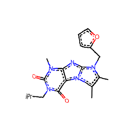 Cc1c(C)n2c3c(=O)n(CC(C)C)c(=O)n(C)c3nc2n1Cc1ccco1